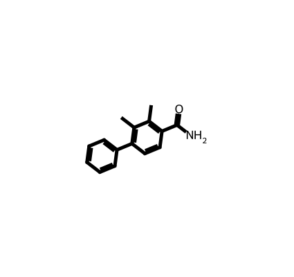 Cc1c(C(N)=O)ccc(-c2ccccc2)c1C